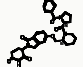 O=C1CCC(N2Cc3cc(OC[C@@H]4CCCCN4C(=O)[C@@H]4CCCN4C(=O)c4ccccc4)ccc3C2=O)C(=O)N1